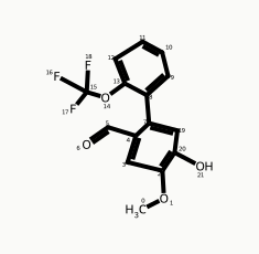 COc1cc(C=O)c(-c2ccccc2OC(F)(F)F)cc1O